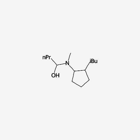 CCCC(O)N(C)C1CCCC1C(C)CC